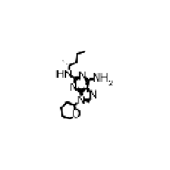 CCC[C@@H](C)Nc1nc(N)c2ncn(C3CCCCO3)c2n1